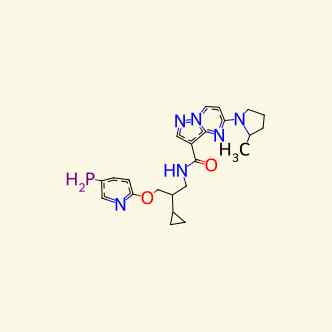 CC1CCCN1c1ccn2ncc(C(=O)NCC(COc3ccc(P)cn3)C3CC3)c2n1